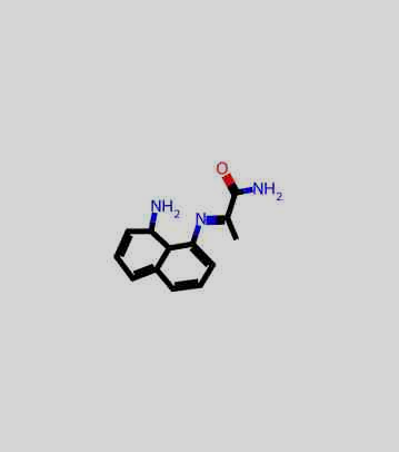 C/C(=N\C1=CC=CC2=CC=CC(N)C21)C(N)=O